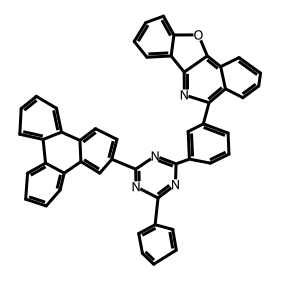 c1ccc(-c2nc(-c3cccc(-c4nc5c6ccccc6oc5c5ccccc45)c3)nc(-c3ccc4c5ccccc5c5ccccc5c4c3)n2)cc1